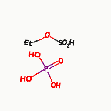 CCOS(=O)(=O)O.O=P(O)(O)O